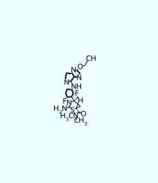 C#CCOc1cnc2c(Nc3ccc(F)c([C@@]4(CF)N=C(N)S[C@@]5(C(=O)N(C)C)C[C@H]54)c3)nccc2n1